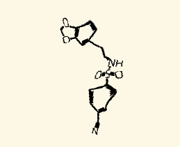 N#Cc1ccc(S(=O)(=O)NCCc2ccc3c(c2)OCO3)cc1